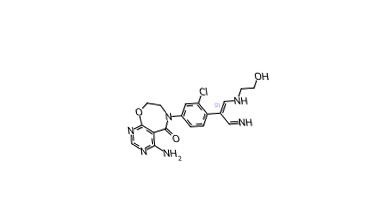 N=C/C(=C\NCCO)c1ccc(N2CCOc3ncnc(N)c3C2=O)cc1Cl